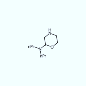 CCCN(CCC)[C]1CNCCO1